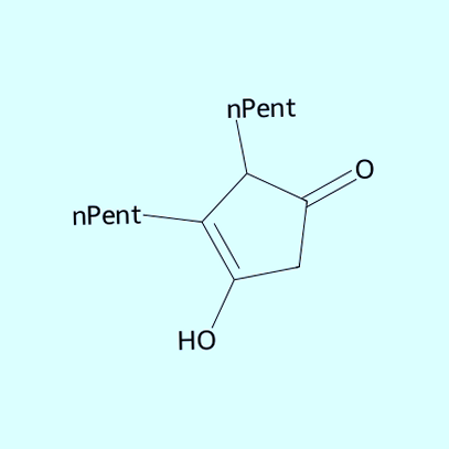 CCCCCC1=C(O)CC(=O)C1CCCCC